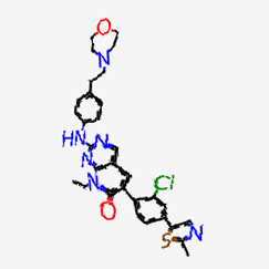 CCn1c(=O)c(-c2ccc(-c3cnc(C)s3)cc2Cl)cc2cnc(Nc3ccc(CCN4CCOCC4)cc3)nc21